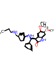 CCCNCc1ccc(NC(=C2C(=O)Nc3cc(OC)c(OC)cc32)c2ccccc2)cc1